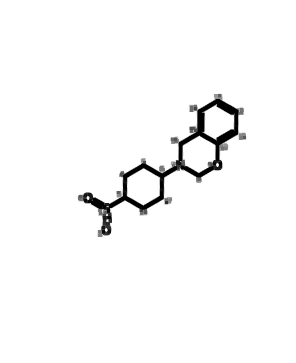 O=[SH](=O)C1CCC(N2COc3ccccc3C2)CC1